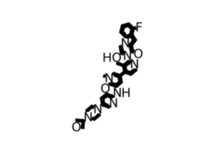 Cn1cc(-c2ccnc(-n3ccn4c(cc5c(F)cccc54)c3=O)c2CO)cc(Nc2ccc(N3CCN(C4COC4)CC3)cn2)c1=O